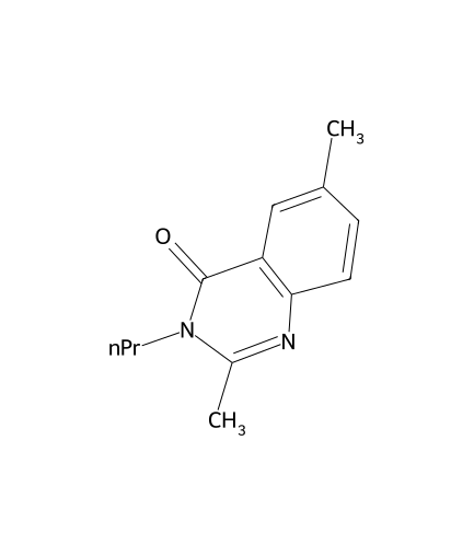 CCCn1c(C)nc2ccc(C)cc2c1=O